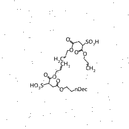 C=CCOC(=O)C(CC(=O)OCCCCCCCCCCCC)S(=O)(=O)O.C=CCOC(=O)CC(C(=O)OCC=C)S(=O)(=O)O